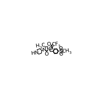 CC1C[N+](Cc2ccc(S(C)(=O)=O)cc2F)(OC(=O)C(F)(F)F)C(=O)N1C1CCNCC1